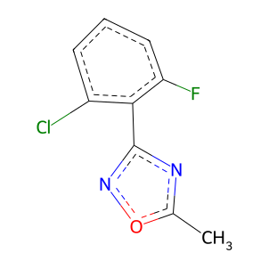 Cc1nc(-c2c(F)cccc2Cl)no1